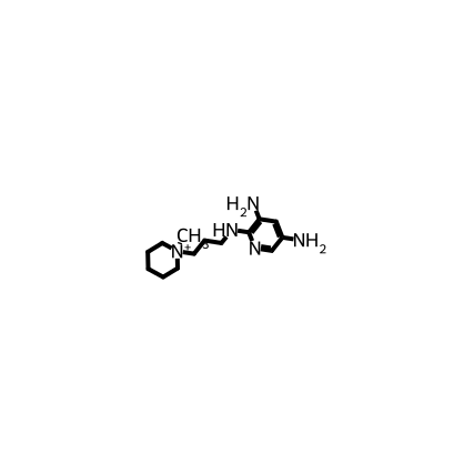 C[N+]1(CCCNc2ncc(N)cc2N)CCCCC1